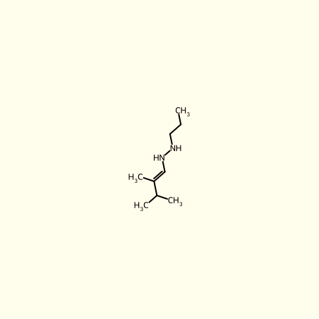 CCCNN/C=C(\C)C(C)C